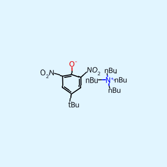 CC(C)(C)c1cc([N+](=O)[O-])c([O-])c([N+](=O)[O-])c1.CCCC[N+](CCCC)(CCCC)CCCC